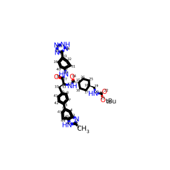 Cc1nc2cc(-c3ccc(C[C@H](NC(=O)[C@H]4CC[C@H](CNC(=O)OC(C)(C)C)CC4)C(=O)Nc4ccc(-c5nn[nH]n5)cc4)cc3)ccc2[nH]1